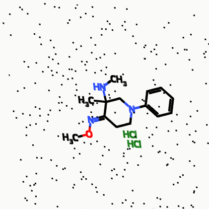 CNC1(C)CN(c2ccccc2)CCC1=NOC.Cl.Cl